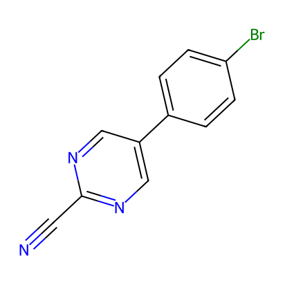 N#Cc1ncc(-c2ccc(Br)cc2)cn1